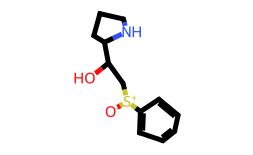 [O-][S+](CC(O)C1CCCN1)c1ccccc1